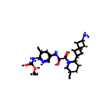 Cc1cc(NC(=O)C(=O)N2CC(C)CCC2C2CC3(CC(N)C3)C2)cnc1NC(=O)OC(C)(C)C